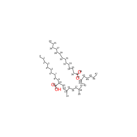 CCCCCCCCCCC(CCC(C)CCCC(C)C)C(=O)O.CCCCCCCCCCCCCC(=O)OC(CC)CCCCC